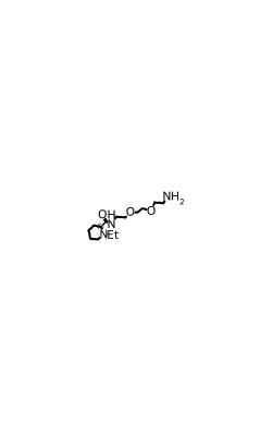 CCN1CCCC[C@H]1C(=O)NCCOCCOCCN